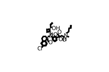 C=CCCCN(C)C(=O)CC(O)(C(=O)O)c1ccc2c(c1)N(C[C@@H]1CC[C@H]1C(O)C=C)C[C@@]1(CCCc3cc(Cl)ccc31)CO2